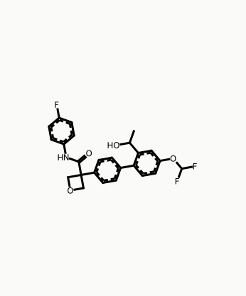 CC(O)c1cc(OC(F)F)ccc1-c1ccc(C2(C(=O)Nc3ccc(F)cc3)COC2)cc1